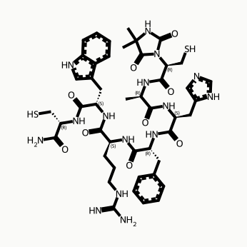 C[C@@H](NC(=O)[C@H](CS)N1C(=O)NC(C)(C)C1=O)C(=O)N[C@@H](Cc1cnc[nH]1)C(=O)N[C@H](Cc1ccccc1)C(=O)N[C@@H](CCCNC(=N)N)C(=O)N[C@@H](Cc1c[nH]c2ccccc12)C(=O)N[C@@H](CS)C(N)=O